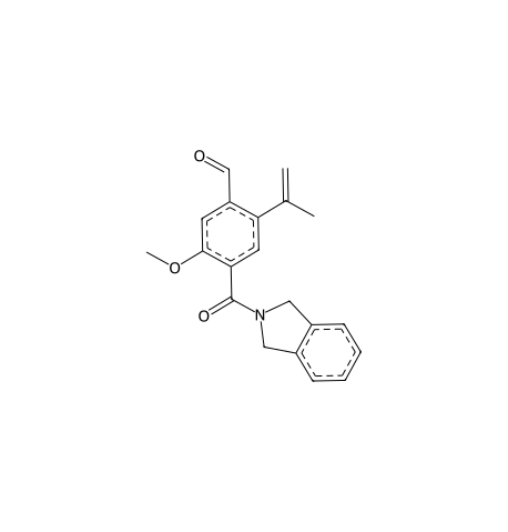 C=C(C)c1cc(C(=O)N2Cc3ccccc3C2)c(OC)cc1C=O